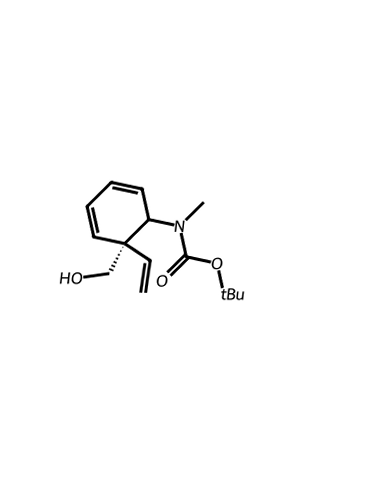 C=C[C@@]1(CO)C=CC=CC1N(C)C(=O)OC(C)(C)C